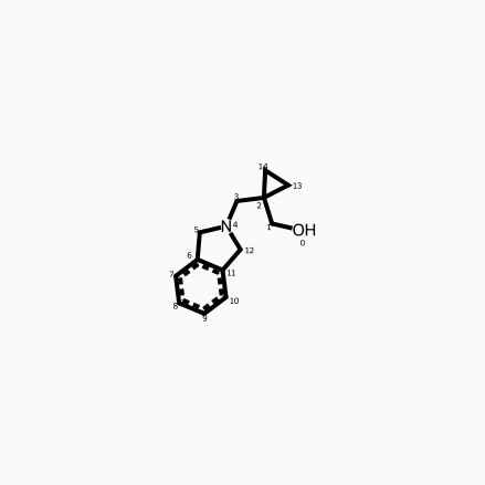 OCC1(CN2Cc3ccccc3C2)CC1